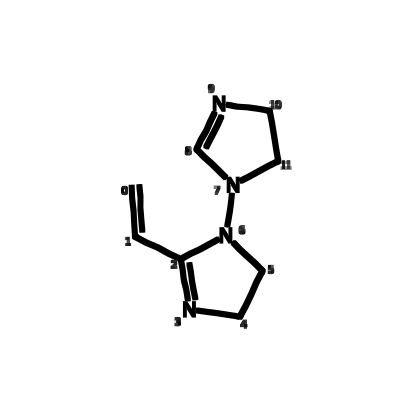 C=CC1=NCCN1N1C=NCC1